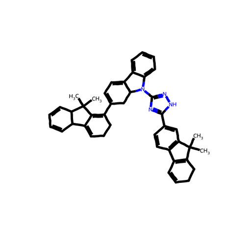 CC1(C)C2=C(C=CCC2)c2ccc(-c3nc(N4c5ccccc5C5=CC=C(C6=C7C(=CCC6)C6C=CC=CC6C7(C)C)CC54)n[nH]3)cc21